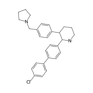 Clc1ccc(-c2ccc(C3[N]CCCC3c3ccc(CN4CCCC4)cc3)cc2)cc1